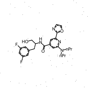 CCCN(CCC)c1cc(C(=O)NC(CO)Cc2cc(F)cc(F)c2)cc(-c2ncco2)n1